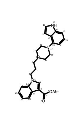 COC(=O)c1cn(CCCN2CCN(c3cccc4[nH]ccc34)CC2)c2ccccc12